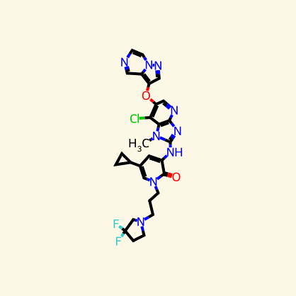 Cn1c(Nc2cc(C3CC3)cn(CCCN3CCC(F)(F)C3)c2=O)nc2ncc(Oc3cnn4ccncc34)c(Cl)c21